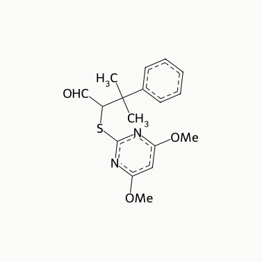 COc1cc(OC)nc(SC(C=O)C(C)(C)c2ccccc2)n1